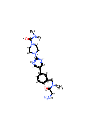 CCN(CC)C(=O)N1CCN(c2ncc(-c3cccc(CN(C)C(=O)CN)c3)cn2)CC1